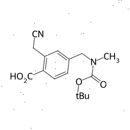 CN(Cc1ccc(C(=O)O)c(CC#N)c1)C(=O)OC(C)(C)C